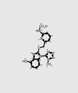 Cn1nnnc1-n1c(OCc2cccc(NC(=O)O)n2)nc2c(O)cccc21